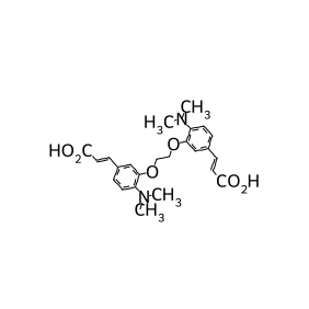 CN(C)c1ccc(/C=C/C(=O)O)cc1OCCOc1cc(/C=C/C(=O)O)ccc1N(C)C